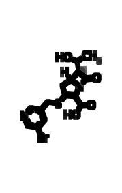 CC(O)[C@H]1C(=O)N2C(C(=O)O)=C(SCc3cncc(Br)c3)C[C@H]12